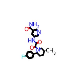 C[C@@H]1CCC(c2ccc(F)cc2)N(C(=O)C(=O)Nc2cncc(C(N)=O)c2)C1